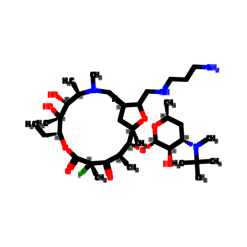 CC[C@H]1OC(=O)[C@@](C)(F)C(=O)[C@H](C)[C@@H](O[C@@H]2O[C@H](C)C[C@H](N(C)C(C)(C)C)[C@H]2O)[C@@]2(C)C[C@H](CN(C)[C@H](C)[C@@H](O)[C@]1(C)O)C(CNCCCN)O2